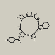 CCCC[C@H]1C(=O)N(C)[C@@H](CCC)C(=O)N[C@@H](C2CCCCC2)C(=O)N[C@@H](CN)C(=O)N[C@@H](CNC(=O)C2CCNCC2)C(=O)N[C@H](C)CN1CCCC